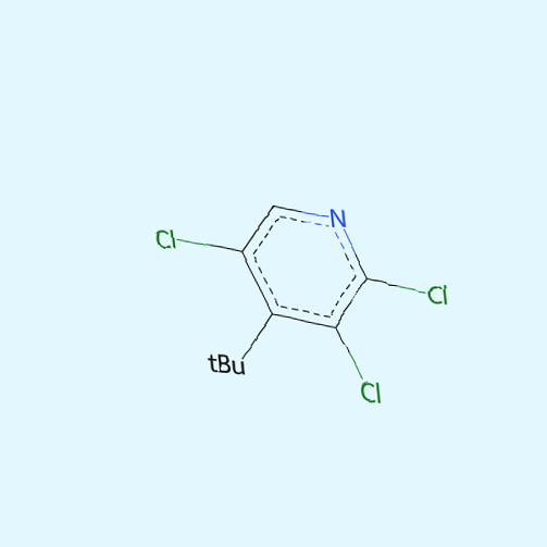 CC(C)(C)c1c(Cl)cnc(Cl)c1Cl